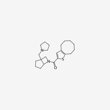 O=C(c1cc2c(s1)CCCCCC2)N1CC2(CN3CCCC3)CCCC12